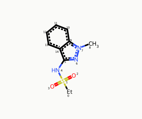 CCS(=O)(=O)Nc1nn(C)c2ccccc12